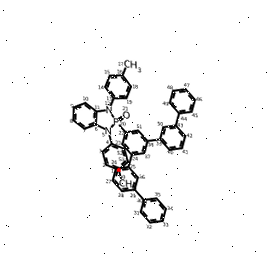 Cc1ccc(N2c3ccccc3N(c3ccc(C)cc3)P2(=O)c2cc(-c3cccc(-c4ccccc4)c3)cc(-c3cccc(-c4ccccc4)c3)c2)cc1